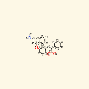 CN(C)CCC(Oc1ccc2c(c1)CC(c1ccccc1)C(=O)O2)c1ccccc1